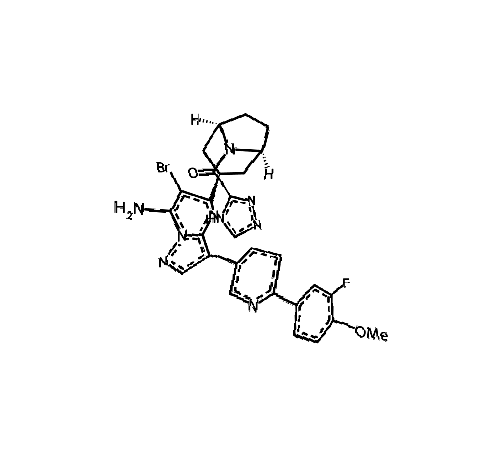 COc1ccc(-c2ccc(-c3cnn4c(N)c(Br)c([C@H]5C[C@H]6CC[C@@H](C5)N6C(=O)c5nnc[nH]5)nc34)cn2)cc1F